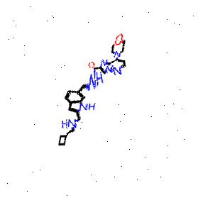 O=C(NCc1ccc2cc(CNCC3CCC3)[nH]c2c1)c1cn2nccc(N3CCOCC3)c2n1